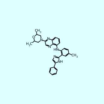 Cc1ccc(Nc2cccc3nc(N4CC(C)OC(C)C4)cnc23)c(-c2ncc(-c3ccccc3)[nH]2)c1